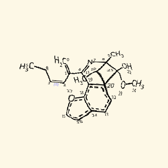 C=C(/C=C\CC)C1=NC2(C)C(C)c3cc4ccoc4c1c3C2(O)OC